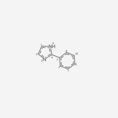 [c]1ccc(-c2ncc[nH]2)cc1